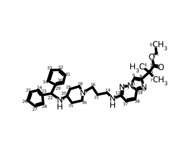 CCOC(=O)C(C)(C)c1cn2nc(NCCCN3CCC(NC(c4ccccc4)c4ccccc4)CC3)ccc2n1